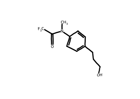 CN(C(=O)C(F)(F)F)c1ccc(CCCO)cc1